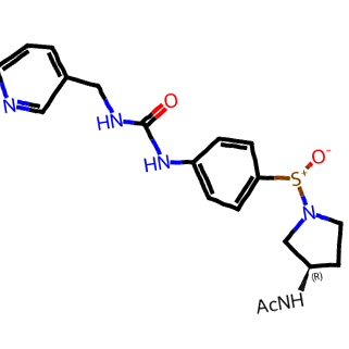 CC(=O)N[C@@H]1CCN([S+]([O-])c2ccc(NC(=O)NCc3cccnc3)cc2)C1